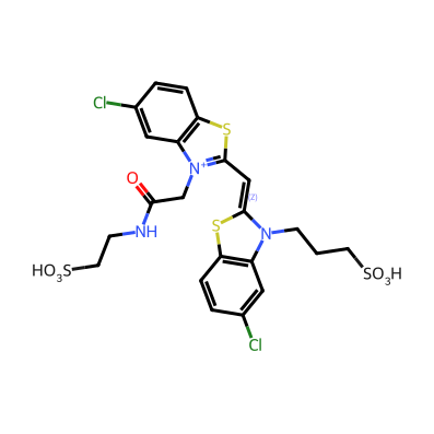 O=C(C[n+]1c(/C=C2\Sc3ccc(Cl)cc3N2CCCS(=O)(=O)O)sc2ccc(Cl)cc21)NCCS(=O)(=O)O